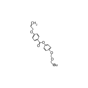 C=CCOc1ccc(C(=O)Oc2ccc(OCOCC(C)CC)cc2)cc1